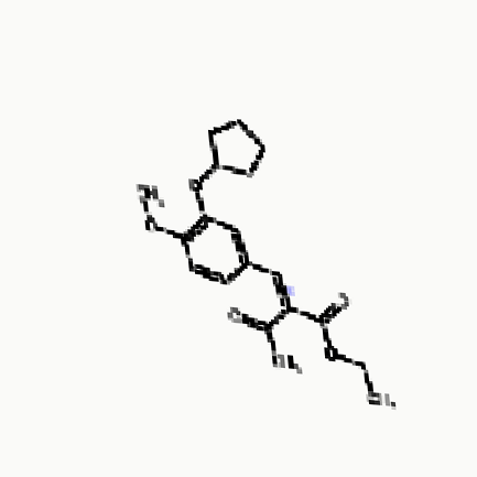 CCOC(=O)/C(=C/c1ccc(OC)c(OC2CCCC2)c1)C(C)=O